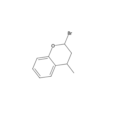 CC1CC(Br)Oc2ccccc21